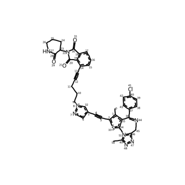 Cc1c(C#Cc2cnn(CCCC#Cc3cccc4c3C(=O)N(C3CCCNC3=O)C4=O)c2)sc2c1C(c1ccc(Cl)cc1)=NCc1nnc(C)n1-2